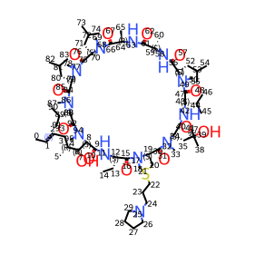 C/C=C/C[C@@H](C)[C@@H](O)[C@H]1C(=O)N[C@@H](CC)C(=O)N(C)[C@H](CSCCCN2CCCC2)C(=O)N(C)[C@@H](CC(C)(C)O)C(=O)N[C@@H](C(C)C)C(=O)N(C)[C@@H](CC(C)C)C(=O)N[C@@H](C)C(=O)N[C@H](C)C(=O)N(C)[C@@H](CC(C)C)C(=O)N(C)[C@@H](CC(C)C)C(=O)N(C)[C@@H](C(C)C)C(=O)N1C